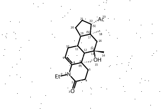 CCN1C(=O)CC[C@@]2(C)C1=CCC1C2[C@@](C)(O)C[C@@]2(C)C1CC[C@@H]2C(C)=O